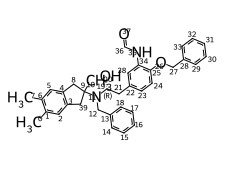 Cc1cc2c(cc1C)CC(C)(N(Cc1ccccc1)[C@H](O)Cc1ccc(OCc3ccccc3)c(NC=O)c1)C2